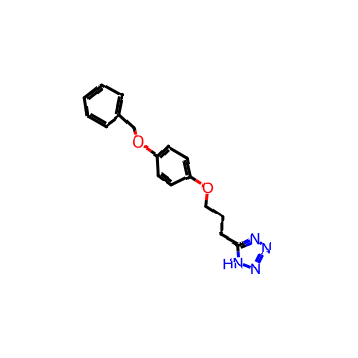 c1ccc(COc2ccc(OCCCc3nnn[nH]3)cc2)cc1